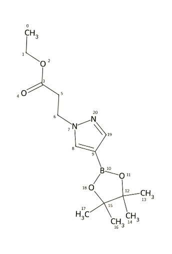 CCOC(=O)CCn1cc(B2OC(C)(C)C(C)(C)O2)cn1